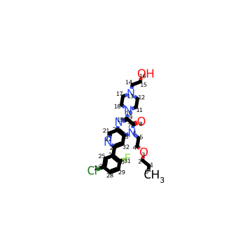 CCCOCCn1c(=O)c(N2CCN(CCO)CC2)nc2cnc(-c3cc(Cl)ccc3F)cc21